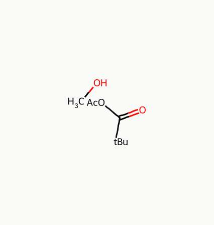 CC(=O)OC(=O)C(C)(C)C.CO